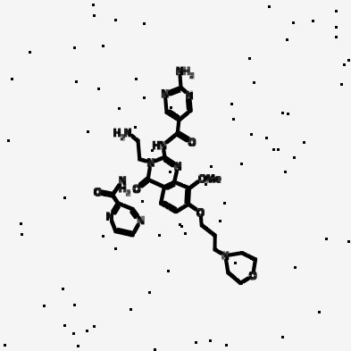 COc1c(OCCCN2CCOCC2)ccc2c(=O)n(CCN)c(NC(=O)c3cnc(N)nc3)nc12.NC(=O)c1cnccn1